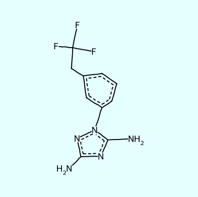 Nc1nc(N)n(-c2cccc(CC(F)(F)F)c2)n1